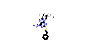 CC(C)Cn1cnc2c(N)nc(SCCc3ccccc3)nc21